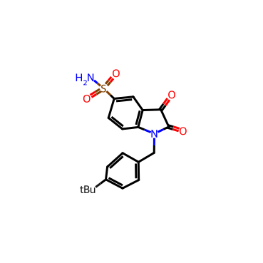 CC(C)(C)c1ccc(CN2C(=O)C(=O)c3cc(S(N)(=O)=O)ccc32)cc1